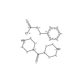 O=C(C1CCNCC1)N1CCNCC1.O=C(Cl)OCc1ccccc1